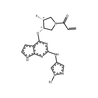 C=CC(=O)N1C[C@@H](F)[C@@H](Oc2nc(Nc3cnn(CC)c3)nc3[nH]ccc23)C1